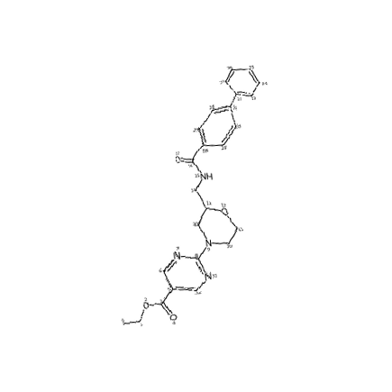 CCOC(=O)c1cnc(N2CCOC(CNC(=O)c3ccc(-c4ccccc4)cc3)C2)nc1